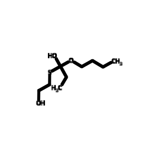 CCCCOC(O)(CC)SCCO